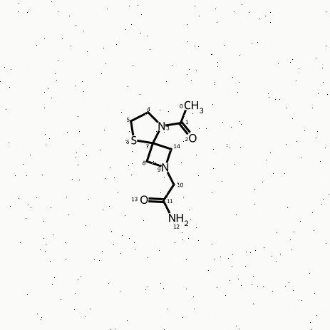 CC(=O)N1CCSC12CN(CC(N)=O)C2